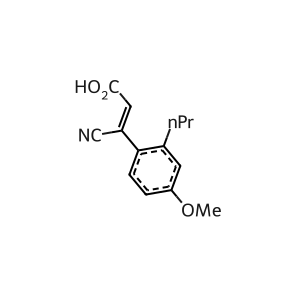 CCCc1cc(OC)ccc1C(C#N)=CC(=O)O